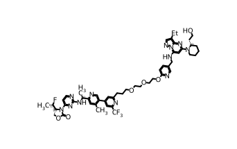 CCc1cnn2c(NCc3ccc(OCCOCCOCCCc4cc(-c5cnc([C@H](C)Nc6nccc(N7C(=O)OC[C@@H]7[C@H](C)F)n6)cc5C)cc(C(F)(F)F)n4)nc3)cc(N3CCCC[C@H]3CCO)nc12